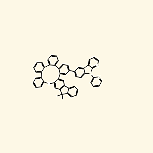 CC1(C)c2ccccc2-c2cc3c(cc21)Sc1ccccc1-c1ccccc1-c1ccccc1-c1ccc(-c2ccc4c(c2)c2cccnc2n4-c2ccccn2)cc1-3